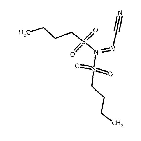 CCCCS(=O)(=O)[N+](=NC#N)S(=O)(=O)CCCC